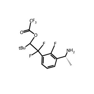 C[C@@H](N)c1cccc(C(F)(F)C(OC(=O)C(F)(F)F)C(C)(C)C)c1F